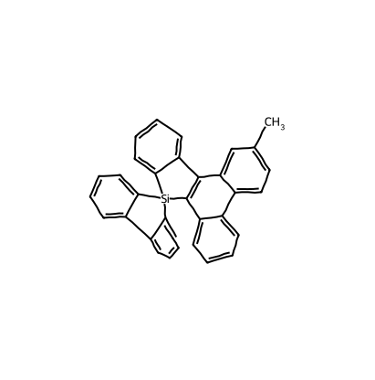 Cc1ccc2c(c1)c1c(c3ccccc32)[Si]2(c3ccccc3-c3ccccc32)c2ccccc2-1